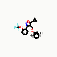 FC(F)(F)Oc1ccccc1-c1noc(C2CC2)c1CO[C@H]1C[C@H]2C=C[C@@H]1C2